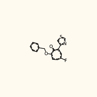 O=c1c(OCc2ccccc2)ccc(F)cc1-c1cscn1